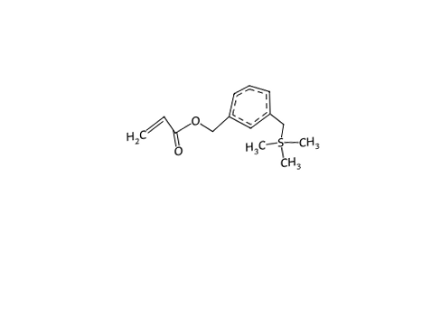 C=CC(=O)OCc1cccc(CS(C)(C)C)c1